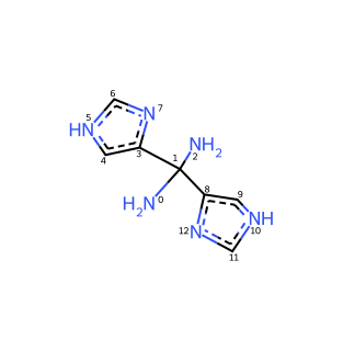 NC(N)(c1c[nH]cn1)c1c[nH]cn1